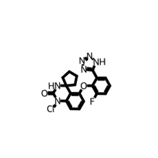 O=C1NC2(CCCC2)c2c(Oc3c(F)cccc3-c3nnn[nH]3)cccc2N1Cl